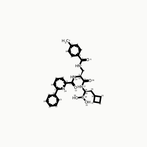 Cc1ccc(C(=O)NC[C@H](NC(=O)c2cccc(-c3ccccc3)n2)C(=O)N[C@@H](CC2CCC2)B(O)O)cc1